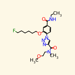 CCNC(=O)c1ccc(-n2cc(C(=O)N(C)CCOC)nn2)c(OCCCCCCF)c1